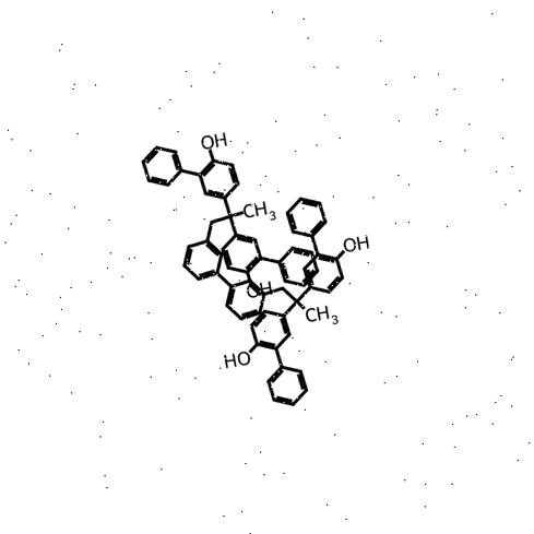 CC(Cc1cccc(-c2cccc(CC(C)(c3ccc(O)c(-c4ccccc4)c3)c3ccc(O)c(-c4ccccc4)c3)c2)c1)(c1ccc(O)c(-c2ccccc2)c1)c1ccc(O)c(-c2ccccc2)c1